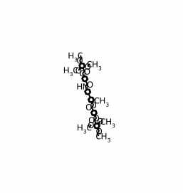 CCOc1cc(OC)c(C(=O)Oc2ccc(C(=O)Nc3ccc(-c4ccc(OC(=O)c5ccc(OC(=O)c6c(OC)cc(OCC)cc6OC)cc5)c(C)c4)cc3)cc2)c(OC)c1